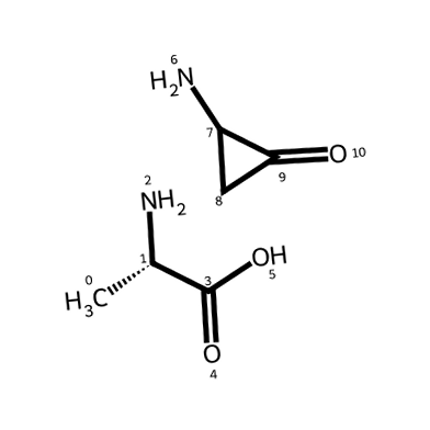 C[C@H](N)C(=O)O.NC1CC1=O